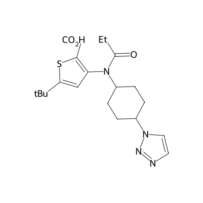 CCC(=O)N(c1cc(C(C)(C)C)sc1C(=O)O)C1CCC(n2ccnn2)CC1